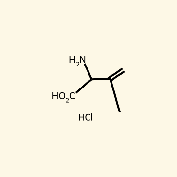 C=C(C)C(N)C(=O)O.Cl